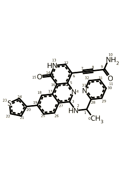 CC(Nc1nc2c(C#CC(N)=O)c[nH]c(=O)c2c2cc(-c3ccsc3)ccc12)c1ccccn1